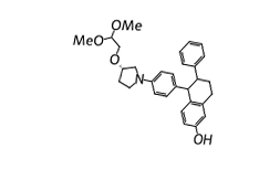 COC(CO[C@H]1CCN(c2ccc(C3c4ccc(O)cc4CCC3c3ccccc3)cc2)C1)OC